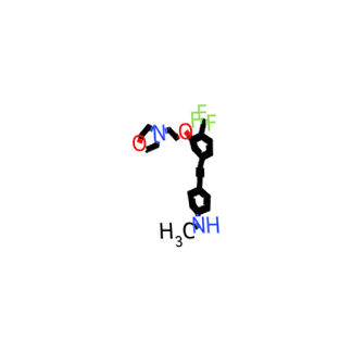 CNc1ccc(C#Cc2ccc(C(F)(F)F)c(OCCN3CCOCC3)c2)cc1